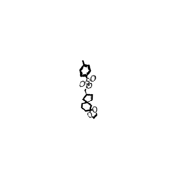 Cc1ccc(S(=O)(=O)OC[C@H]2CC[C@@]3(CCCC4(C3)OCCO4)C2)cc1